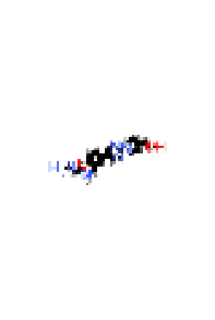 CN(Cc1cccc(-c2cnc(N3CCC(CO)CC3)nc2)c1)C(=O)CN